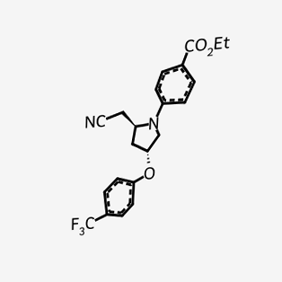 CCOC(=O)c1ccc(N2C[C@H](Oc3ccc(C(F)(F)F)cc3)C[C@H]2CC#N)cc1